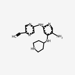 C#Cc1cnc(Nc2cc(NC3CCNCC3)c(N)cn2)cn1